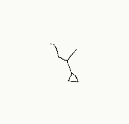 [CH2]CC(C)C1CC1